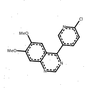 COc1cc2ncnc(-c3ccc(Cl)nc3)c2cc1OC